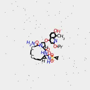 Cc1c(O)ccc2c(O[C@@H]3C[C@H]4C(=O)N[C@]5(C(=O)NS(=O)(=O)C6CC6)C[C@H]5/C=C\CCCCC[C@H](N)C(=O)N4C3)cc(OC(C)C)nc12